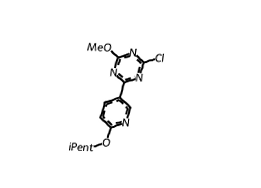 CCCC(C)Oc1ccc(-c2nc(Cl)nc(OC)n2)cn1